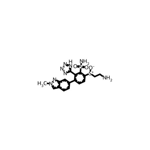 Cn1cc2ccc(-c3ccc([S+]([O-])CCN)c(S(N)(=O)=O)c3-c3nnn[nH]3)cc2n1